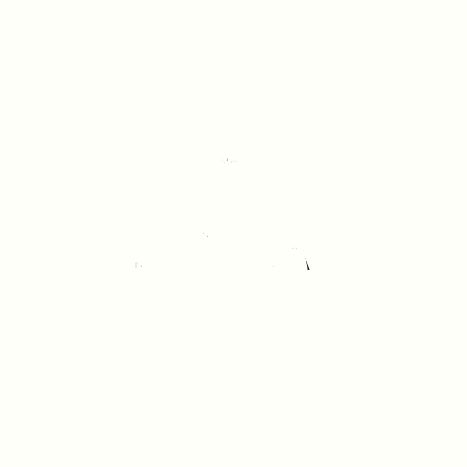 COc1cc2c(cc1CNC1CCCNC1c1ccccc1)[C@](C)(C(F)(F)F)OCC2.Cl.Cl